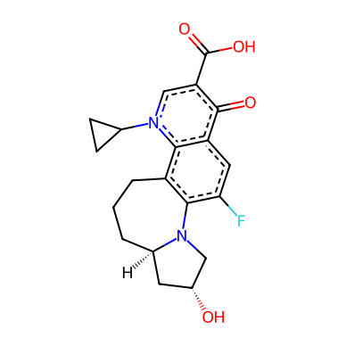 O=C(O)c1cn(C2CC2)c2c3c(c(F)cc2c1=O)N1C[C@H](O)C[C@H]1CCC3